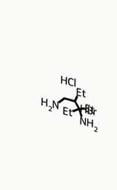 Br.CCC(CN)C(N)(CC)CC.Cl